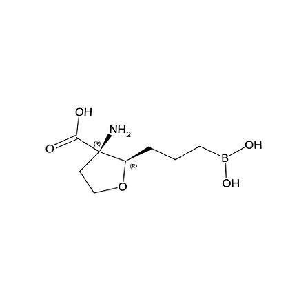 N[C@]1(C(=O)O)CCO[C@@H]1CCCB(O)O